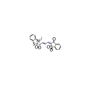 CCN1c2ccccc2SC12OOC2/C=C/C=C1/C(=O)c2ccccc2S1(=O)=O